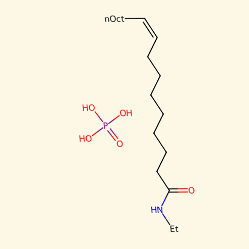 CCCCCCCC/C=C\CCCCCCCC(=O)NCC.O=P(O)(O)O